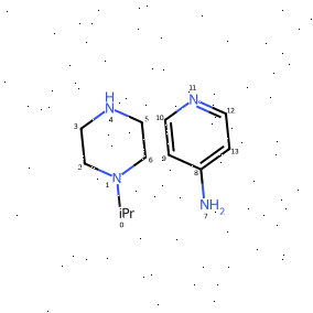 CC(C)N1CCNCC1.Nc1ccncc1